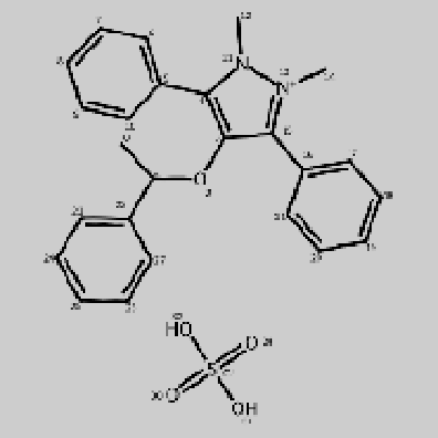 CC(Oc1c(-c2ccccc2)n(C)[n+](C)c1-c1ccccc1)c1ccccc1.O=S(=O)(O)O